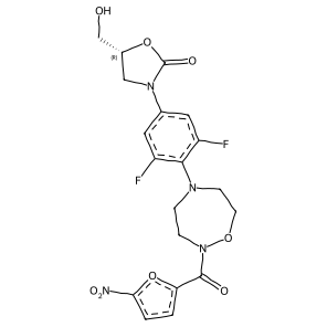 O=C(c1ccc([N+](=O)[O-])o1)N1CCN(c2c(F)cc(N3C[C@H](CO)OC3=O)cc2F)CCO1